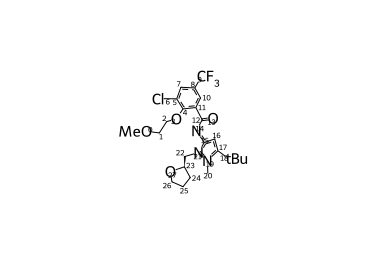 COCCOc1c(Cl)cc(C(F)(F)F)cc1C(=O)/N=c1\cc(C(C)(C)C)n(C)n1C[C@H]1CCCO1